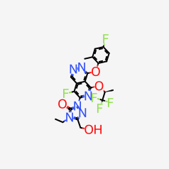 CCn1c(CO)nn(-c2nc(O[C@@H](C)C(F)(F)F)c3c(Oc4ccc(F)cc4C)nncc3c2F)c1=O